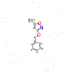 CCc1cc(OCc2ccccc2)no1